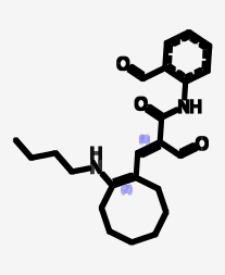 CCCCN/C1=C(\C=C(/C=O)C(=O)Nc2ccccc2C=O)CCCCCC1